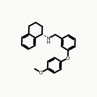 COc1ccc(Oc2cccc(CN[C@H]3CCCc4ccccc43)c2)cc1